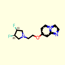 F[C@@H]1CN(CCOc2ccn3ccnc3c2)C[C@@H]1F